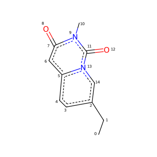 CCc1ccc2cc(=O)n(C)c(=O)n2c1